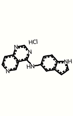 Cl.c1cc2ncnc(Nc3ccc4[nH]ccc4c3)c2cn1